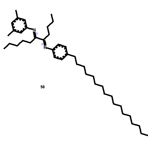 CCCCCCCCCCCCCCCCCc1ccc(/N=C(CCCC)/C(CCCCC)=N/c2cc(C)cc(C)c2)cc1.[Ni]